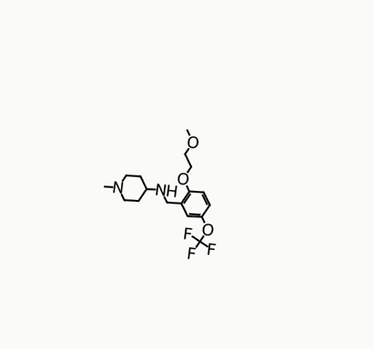 COCCOc1ccc(OC(F)(F)F)cc1CNC1CCN(C)CC1